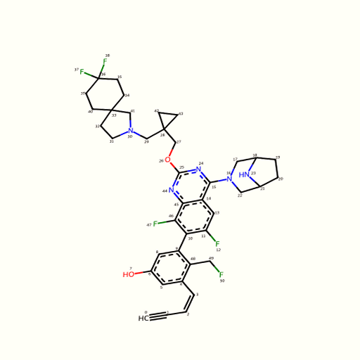 C#C/C=C\c1cc(O)cc(-c2c(F)cc3c(N4CC5CCC(C4)N5)nc(OCC4(CN5CCC6(CCC(F)(F)CC6)C5)CC4)nc3c2F)c1CF